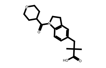 CC(C)(Cc1ccc2c(c1)CCN2C(=O)C1CCOCC1)C(=O)O